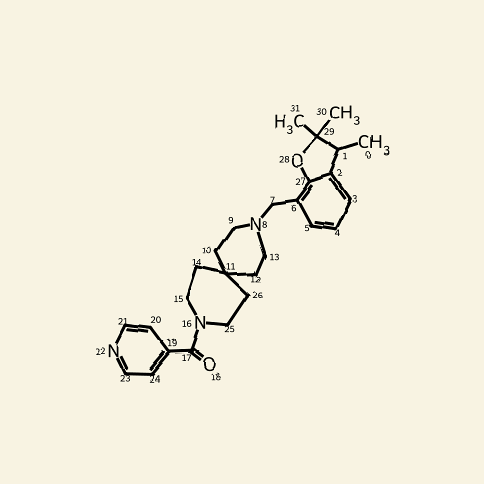 CC1c2cccc(CN3CCC4(CC3)CCN(C(=O)c3ccncc3)CC4)c2OC1(C)C